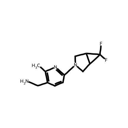 Cc1nc(N2CC3C(C2)C3(F)F)ccc1CN